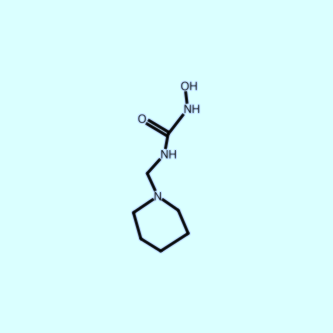 O=C(NO)NCN1CCCCC1